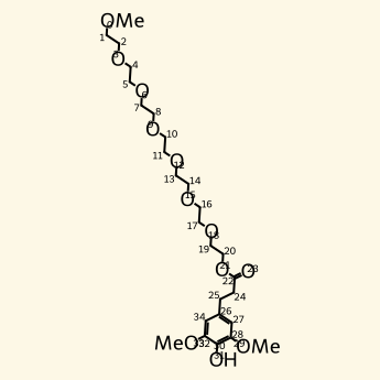 COCCOCCOCCOCCOCCOCCOCCOC(=O)CCc1cc(OC)c(O)c(OC)c1